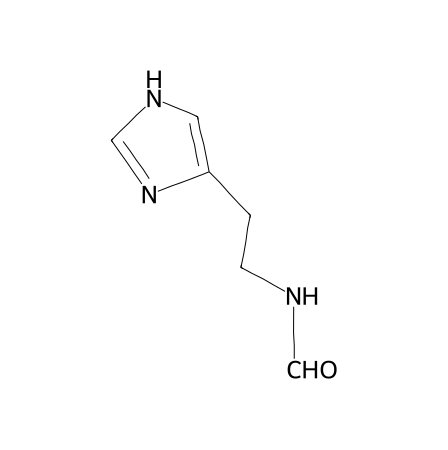 O=CNCCc1c[nH]cn1